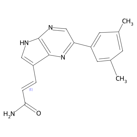 Cc1cc(C)cc(-c2cnc3[nH]cc(/C=C/C(N)=O)c3n2)c1